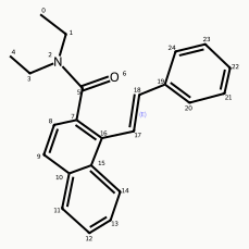 CCN(CC)C(=O)c1ccc2ccccc2c1/C=C/c1ccccc1